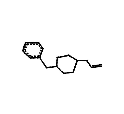 C=CCC1CCC(Cc2ccccc2)CC1